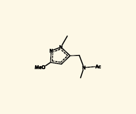 COc1cc(CN(C)C(C)=O)n(C)n1